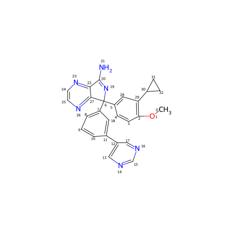 COc1ccc(C2(c3cccc(-c4cncnc4)c3)N=C(N)c3nccnc32)cc1C1CC1